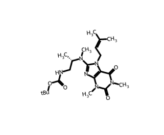 CC(C)=CCn1c(N(C)[C@@H](C)CNC(=O)OC(C)(C)C)nc2c1c(=O)n(C)c(=O)n2C